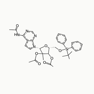 CC(=O)Nc1ncnc2c1ccn2[C@@H]1O[C@H](CO[Si](c2ccccc2)(c2ccccc2)C(C)(C)C)C(OC(C)=O)C1(C)OC(C)=O